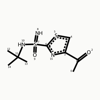 CC(=O)c1csc(S(=N)(=O)NC(C)(C)C)n1